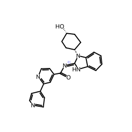 O=C(/N=c1\[nH]c2ccccc2n1[C@H]1CC[C@@H](O)CC1)c1ccnc(-c2ccncc2)c1